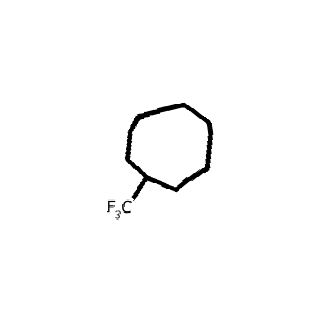 FC(F)(F)C1CCCCCC1